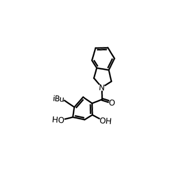 CCC(C)c1cc(C(=O)N2Cc3ccccc3C2)c(O)cc1O